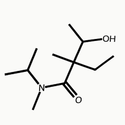 CCC(C)(C(=O)N(C)C(C)C)C(C)O